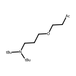 CC(=O)CCOCCCN(C(C)(C)C)C(C)(C)C